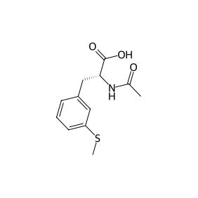 CSc1cccc(C[C@@H](NC(C)=O)C(=O)O)c1